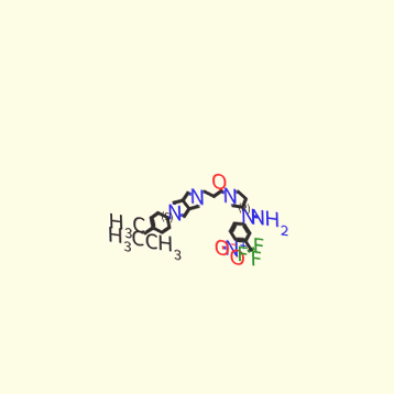 CC(C)(C)C1=CC[C@@H](N2CC3CN(CCC(=O)N4CC[C@@H](N(N)c5ccc([N+](=O)[O-])c(C(F)(F)F)c5)C4)CC3C2)CC1